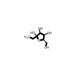 CC[C@@]1(O)O[C@H](CO)[C@H](O)[C@@H]1O